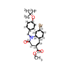 [2H]C([2H])([2H])Oc1ccc(CN2C(=O)CC(C(=O)OC)=Cc3ccc(Br)cc32)cc1